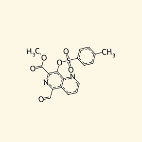 COC(=O)c1nc(C=O)c2cccnc2c1OS(=O)(=O)c1ccc(C)cc1